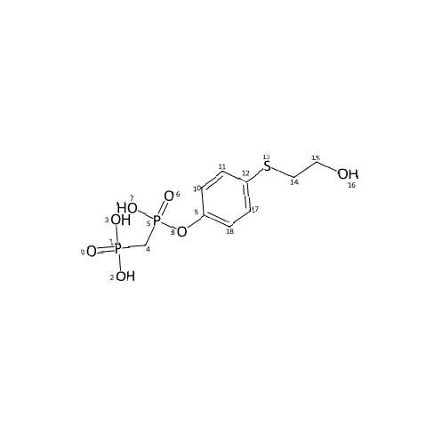 O=P(O)(O)CP(=O)(O)Oc1ccc(SCCO)cc1